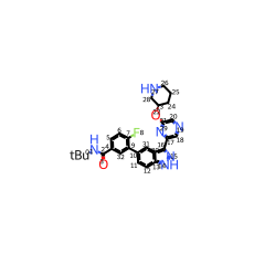 CC(C)(C)NC(=O)c1ccc(F)c(-c2ccc3[nH]nc(-c4cncc(O[C@@H]5CCCNC5)n4)c3c2)c1